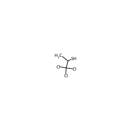 CC(S)C(Cl)(Cl)Cl